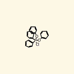 ClP(Oc1ccccc1)(Oc1ccccc1)(c1ccccc1)c1ccccc1